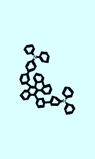 c1ccc(N(c2ccccc2)c2ccc(-c3cccc(-c4c5ccccc5c(-c5cccc(-c6ccc(N(c7ccccc7)c7ccccc7)cc6)c5)c5c6ccccc6c6ccccc6c45)c3)cc2)cc1